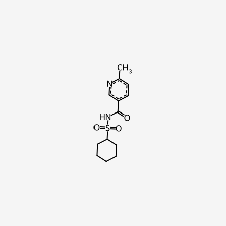 Cc1ccc(C(=O)NS(=O)(=O)C2CCCCC2)cn1